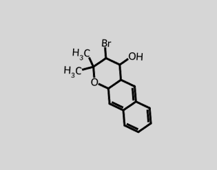 CC1(C)OC2C=c3ccccc3=CC2C(O)C1Br